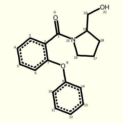 O=C(c1ccccc1Oc1ccccc1)N1CCCC1CO